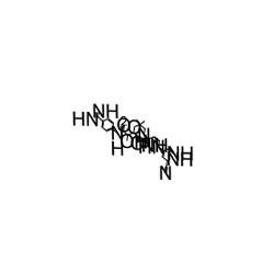 CC1(C)CN(C(=N)/C=C\N/C(C=N)=C/C(=N)C#N)C(=O)C(C(O)C(=O)Nc2ccc(C(=N)N)cc2)O1